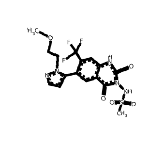 COCCn1nccc1-c1cc2c(=O)n(NS(C)(=O)=O)c(=O)[nH]c2cc1C(F)(F)F